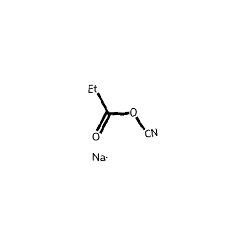 CCC(=O)OC#N.[Na]